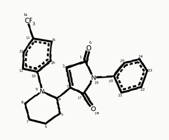 O=C1C=C(C2CCCCN2c2ccc(C(F)(F)F)cc2)C(=O)N1c1ccccc1